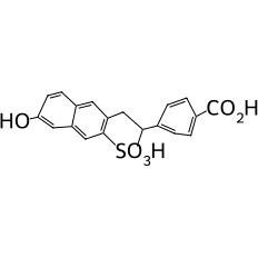 CC(Cc1cc2ccc(O)cc2cc1S(=O)(=O)O)c1ccc(C(=O)O)cc1